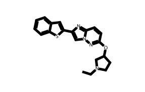 CCN1CCC(Oc2ccc3nc(-c4cc5ccccc5s4)cn3n2)C1